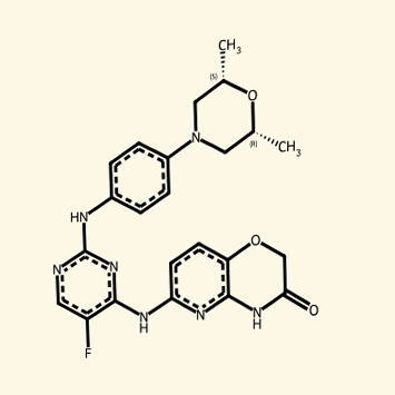 C[C@@H]1CN(c2ccc(Nc3ncc(F)c(Nc4ccc5c(n4)NC(=O)CO5)n3)cc2)C[C@H](C)O1